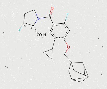 O=C(O)[C@@H]1[C@H](F)CCN1C(=O)c1cc(C2CC2)c(OCC23CC4CC(C2)C(C4)C3)cc1F